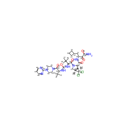 CC(C)(C)[C@H](NC(=O)N[C@H](C(=O)N1C[C@H]2[C@@H]([C@H]1C(=O)NC(CC1CCC1)C(=O)C(N)=O)C2(Cl)Cl)C(C)(C)C)C(=O)N1CCN(c2ncccn2)CC1